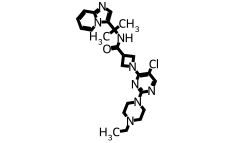 CCN1CCN(c2ncc(Cl)c(N3CC(C(=O)NC(C)(C)c4cnc5ccccn45)C3)n2)CC1